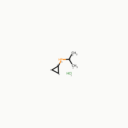 CC(C)PC1CC1.Cl